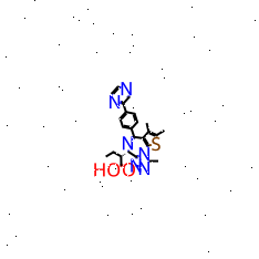 CCC(C(=O)O)[C@@H]1N=C(c2ccc(-c3cnccn3)cc2)c2c(sc(C)c2C)-n2c(C)nnc21